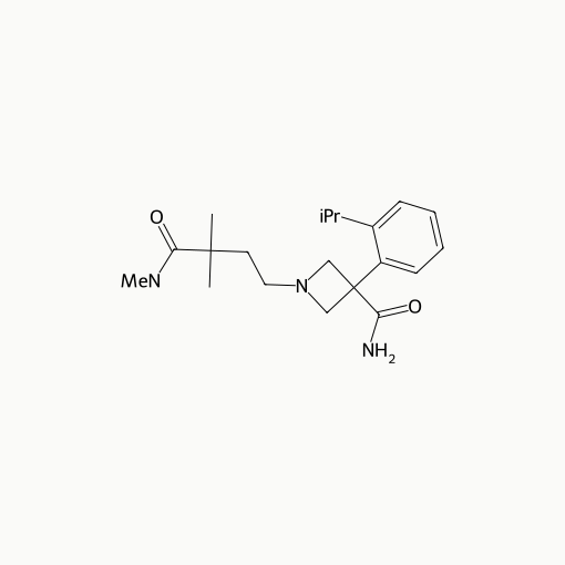 CNC(=O)C(C)(C)CCN1CC(C(N)=O)(c2ccccc2C(C)C)C1